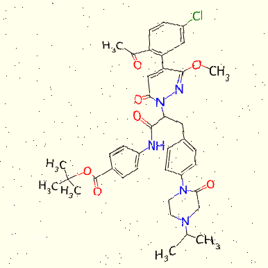 COc1nn(C(Cc2ccc(N3CCN(C(C)C)CC3=O)cc2)C(=O)Nc2ccc(C(=O)OC(C)(C)C)cc2)c(=O)cc1-c1cc(Cl)ccc1C(C)=O